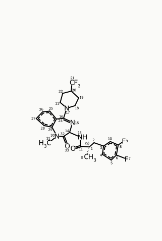 C[C@@H](Cc1ccc(F)c(F)c1)C(=O)NC1N=C(N2CCC(C(F)(F)F)CC2)c2ccccc2N(C)C1=O